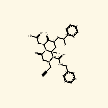 C#CCN1CC(=O)N2[C@@H](CC(=O)O)C(=O)N(CC(C)c3ccccc3)C[C@@H]2N1C(=O)NCc1ccccc1